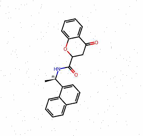 C[C@@H](NC(=O)C1CC(=O)c2ccccc2O1)c1cccc2ccccc12